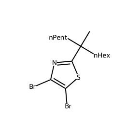 CCCCCCC(C)(CCCCC)c1nc(Br)c(Br)s1